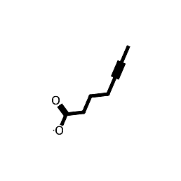 CC#CCCCC([O])=O